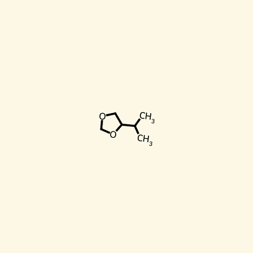 CC(C)C1COCO1